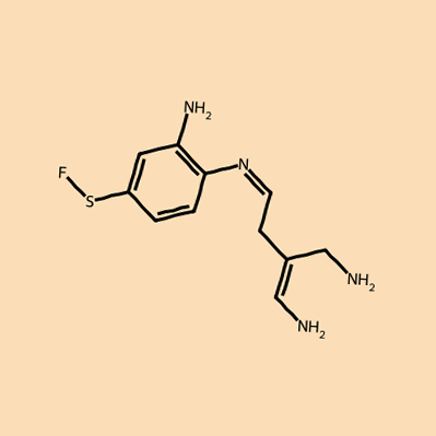 N/C=C(\CN)C/C=N\c1ccc(SF)cc1N